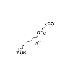 CCCCCCCCCCCCCCCCC=COC(=O)CCC(=O)[O-].[K+]